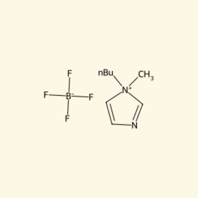 CCCC[N+]1(C)C=CN=C1.F[B-](F)(F)F